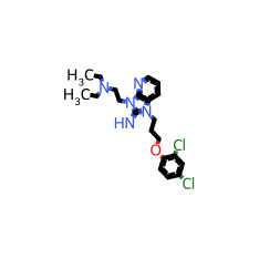 CCN(CC)CCn1c(=N)n(CCCOc2ccc(Cl)cc2Cl)c2cccnc21